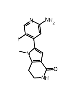 Cn1c(-c2cc(N)ncc2I)cc2c1CCNC2=O